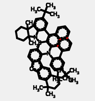 CC(C)(C)c1ccc(N2c3cc4ccccc4c4c3B(c3ccc5oc6cc7c(cc6c5c32)C(C)(C)CCC7(C)C)N2c3c-4cc(C(C)(C)C)cc3C3(C)CCCCC23C)c(-c2ccccc2)c1